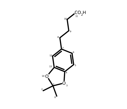 CC1(C)Oc2ccc(CCCC(=O)O)cc2O1